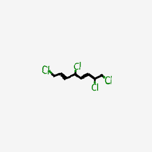 ClCC=CC(Cl)C=CC(Cl)CCl